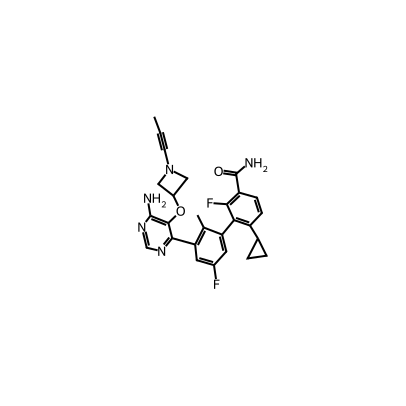 CC#CN1CC(Oc2c(N)ncnc2-c2cc(F)cc(-c3c(C4CC4)ccc(C(N)=O)c3F)c2C)C1